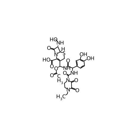 CCN1CCN(C(=O)NC(C(=O)NC(OC(C)=O)C2=C(C(=O)O)N3C(=O)[C@H](NO)[C@H]3SC2)c2ccc(O)c(O)c2)C(=O)C1=O